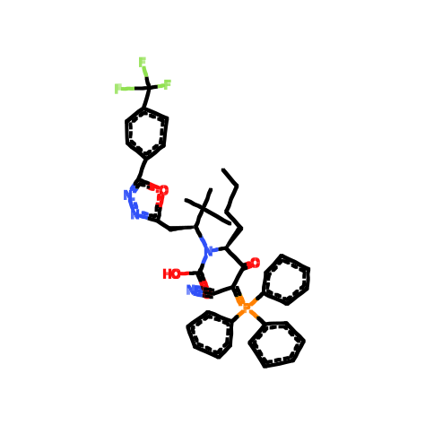 CCCC[C@@H](C(=O)C(C#N)=P(c1ccccc1)(c1ccccc1)c1ccccc1)N(C(=O)O)[C@@H](Cc1nnc(-c2ccc(C(F)(F)F)cc2)o1)C(C)(C)C